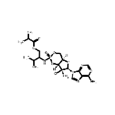 CC(C)C(=O)OCC(NP1(=O)OC[C@H]2O[C@@H](n3cnc4c(N)ncnc43)[C@](C)(Cl)[C@@H]2O1)C(C)C